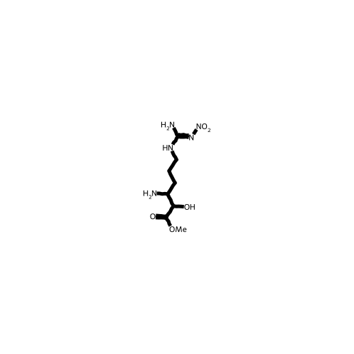 COC(=O)C(O)C(N)CCCNC(N)=N[N+](=O)[O-]